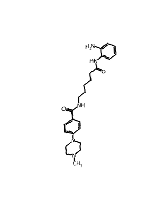 CN1CCN(c2ccc(C(=O)NCCCCCC(=O)Nc3ccccc3N)cc2)CC1